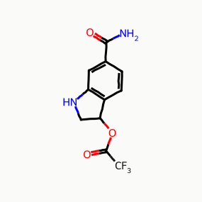 NC(=O)c1ccc2c(c1)NCC2OC(=O)C(F)(F)F